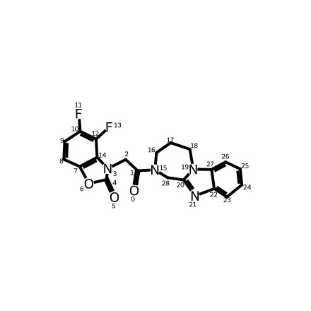 O=C(Cn1c(=O)oc2ccc(F)c(F)c21)N1CCCn2c(nc3ccccc32)C1